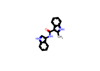 Cc1[nH]c2ccccc2c1C(=O)Nc1c[nH]c2ccccc12